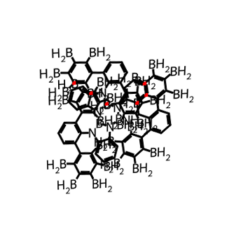 Bc1c(B)c(B)c(-c2cccc(-c3c(B)c(B)c(B)c(B)c3B)c2Cc2ccccc2N2B(N)N3B(N4B2N(c2c(-c5c(B)c(B)c(B)c(B)c5B)cccc2-c2c(B)c(B)c(B)c(B)c2B)c2ccccc24)N(c2c(-c4c(B)c(B)c(B)c(B)c4B)cccc2-c2c(B)c(B)c(B)c(B)c2B)c2ccccc23)c(B)c1B